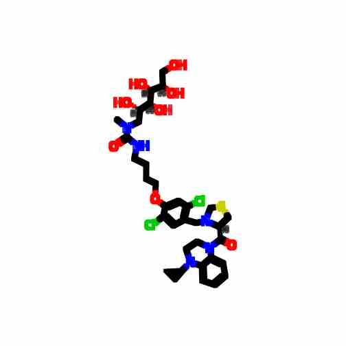 CN(C[C@H](O)[C@@H](O)[C@H](O)[C@H](O)CO)C(=O)NCCCCOc1cc(Cl)c(CN2CSC[C@H]2C(=O)N2CCN(C3CC3)c3ccccc32)cc1Cl